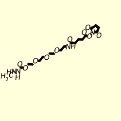 CNNC(=O)OCCOCCOCCOCCNC(=O)CCCC(=O)ON1C(=O)CCC1=O